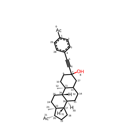 CC(=O)c1ccc(C#CC2(O)CC[C@@]3(C)C(CC[C@H]4[C@@H]5CC[C@H](C(C)=O)[C@@]5(C)CC[C@@H]43)C2)cc1